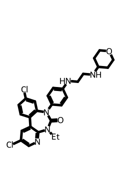 CCN1C(=O)N(c2ccc(NCCNC3CCOCC3)cc2)c2cc(Cl)ccc2-c2cc(Cl)cnc21